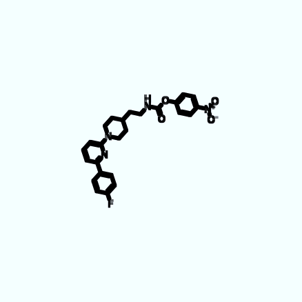 O=C(NCCC1CCN(c2cccc(-c3ccc(F)cc3)n2)CC1)Oc1ccc([N+](=O)[O-])cc1